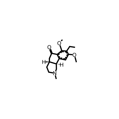 CCc1c(OC)cc2c(c1OC)C(=O)C[C@H]1CCN(C)C[C@H]21